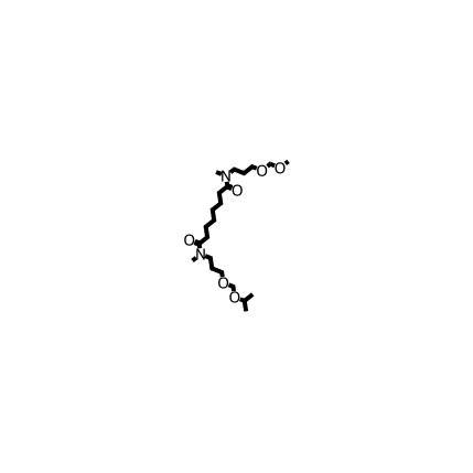 COCOCCCN(C)C(=O)CCCCCCC(=O)N(C)CCCOCOC(C)C